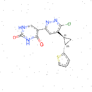 O=c1[nH]cc(-c2cc([C@H]3C[C@@H]3c3cccs3)c(Cl)nn2)c(=O)[nH]1